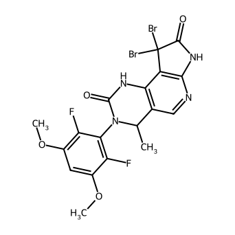 COc1cc(OC)c(F)c(N2C(=O)Nc3c(cnc4c3C(Br)(Br)C(=O)N4)C2C)c1F